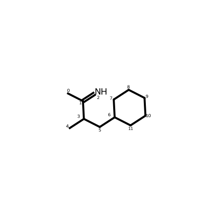 CC(=N)C(C)CC1CCCCC1